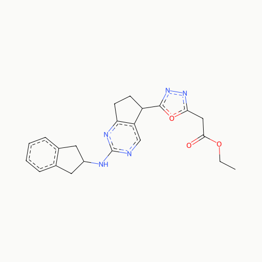 CCOC(=O)Cc1nnc(C2CCc3nc(NC4Cc5ccccc5C4)ncc32)o1